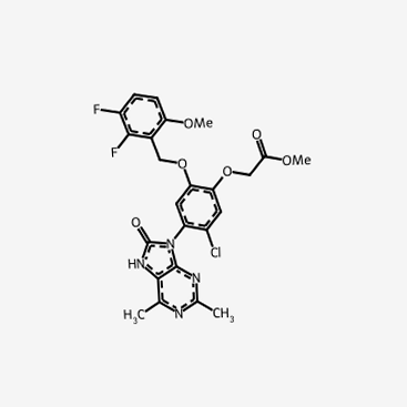 COC(=O)COc1cc(Cl)c(-n2c(=O)[nH]c3c(C)nc(C)nc32)cc1OCc1c(OC)ccc(F)c1F